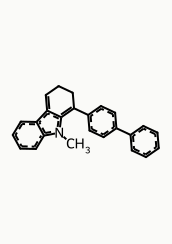 Cn1c2c(c3ccccc31)=CCCC=2c1ccc(-c2ccccc2)cc1